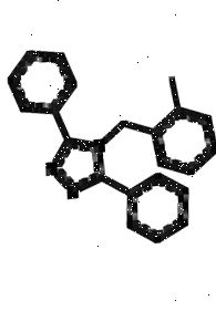 Cc1ccccc1Cn1c(-c2ccccc2)nnc1-c1ccccc1